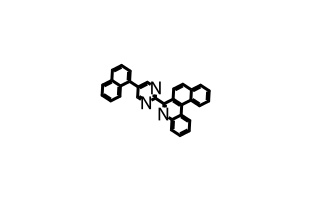 c1ccc2c(-c3cnc(-c4nc5ccccc5c5c4ccc4ccccc45)nc3)cccc2c1